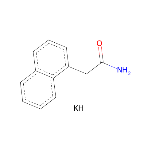 NC(=O)Cc1cccc2ccccc12.[KH]